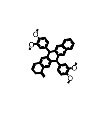 C=C1CC=Cc2cc3c(cc21)C(c1ccc(OC)c(OC)c1)c1cc2ccccc2cc1C3c1ccc(OC)c(OC)c1